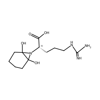 N=C(N)NCCC[C@@H](C(=O)O)N1C2(O)CCCCC12O